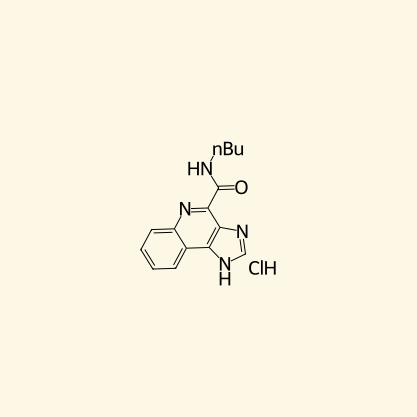 CCCCNC(=O)c1nc2ccccc2c2[nH]cnc12.Cl